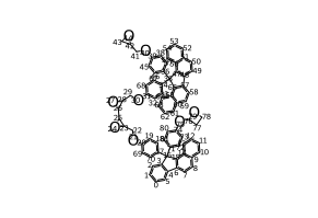 c1ccc2c(c1)-c1ccc3ccccc3c1C2(c1ccc(OCC2OC2C2OC2COc2ccc(C3(c4ccc(OCC5CO5)cc4)c4c(ccc5ccccc45)-c4ccc5ccccc5c43)cc2)cc1)c1ccc(OC2CCO2)cc1